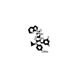 COc1ccc(N(C(=O)[C@H](Cc2cc(F)cc(F)c2)NC(=O)NS(=O)(=O)N2CCc3cccnc32)C2CC2)cc1